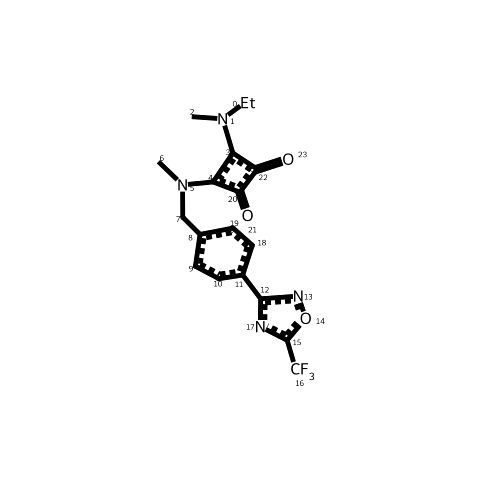 CCN(C)c1c(N(C)Cc2ccc(-c3noc(C(F)(F)F)n3)cc2)c(=O)c1=O